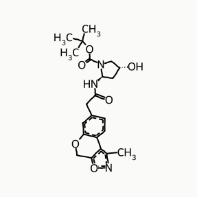 Cc1noc2c1-c1ccc(CC(=O)N[C@@H]3C[C@@H](O)CN3C(=O)OC(C)(C)C)cc1OC2